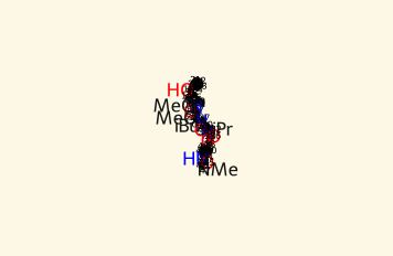 CCC(C)C(C(CC(=O)N1CCCC1C(OC)C(C)C(C)C(O)c1ccccc1)OC)N(C)C(=O)CC(C(C)C)N(C)C(=O)OCc1ccc(NC(=O)CNC)cc1